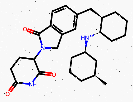 C[C@H]1CCC[C@@H](N[C@H]2CCCC[C@@H]2Cc2ccc3c(c2)CN(C2CCC(=O)NC2=O)C3=O)C1